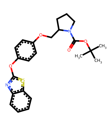 CC(C)(C)OC(=O)N1CCCC1COc1ccc(Oc2nc3ccccc3s2)cc1